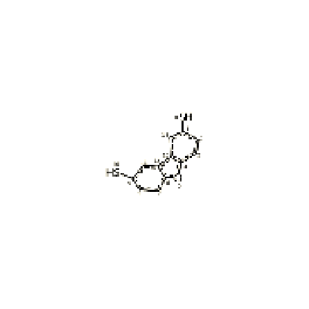 Sc1ccc2oc3ccc(S)cc3c2c1